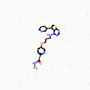 CNC(=O)c1ccc(OCCCNc2ncnc3scc(-c4cccnc4)c23)cn1